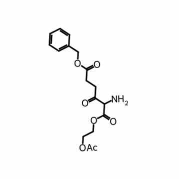 CC(=O)OCCOC(=O)C(N)C(=O)CCC(=O)OCc1ccccc1